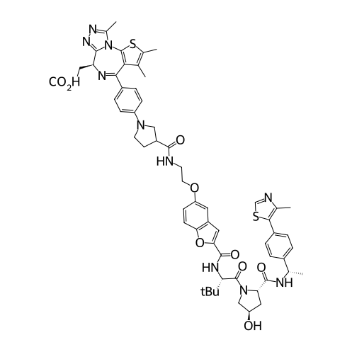 Cc1ncsc1-c1ccc([C@H](C)NC(=O)[C@@H]2C[C@@H](O)CN2C(=O)[C@@H](NC(=O)c2cc3cc(OCCNC(=O)C4CCN(c5ccc(C6=N[C@@H](CC(=O)O)c7nnc(C)n7-c7sc(C)c(C)c76)cc5)C4)ccc3o2)C(C)(C)C)cc1